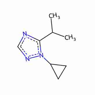 CC(C)c1ncnn1C1CC1